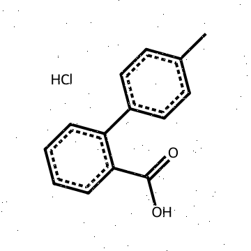 Cc1ccc(-c2ccccc2C(=O)O)cc1.Cl